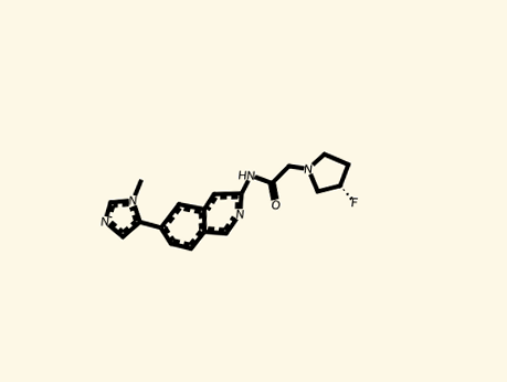 Cn1cncc1-c1ccc2cnc(NC(=O)CN3CC[C@H](F)C3)cc2c1